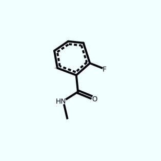 CNC(=O)c1[c]cccc1F